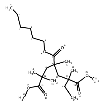 CCCCCCOC(=O)C(C)(CC(C)(C)C(=O)OC)CC(C)(CC)C(=O)OC